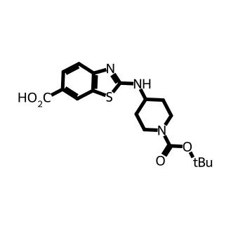 CC(C)(C)OC(=O)N1CCC(Nc2nc3ccc(C(=O)O)cc3s2)CC1